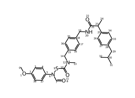 COc1ccc(N(C=O)SC(=O)N(C)Cc2ccc(CNC(=O)C(C)c3ccc(CC(C)C)cc3)cc2)cc1